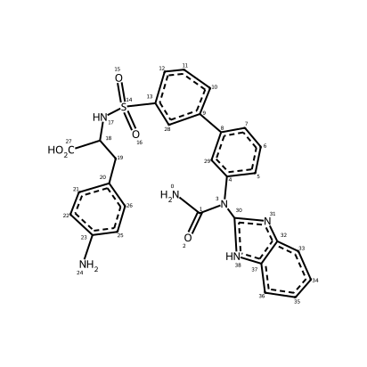 NC(=O)N(c1cccc(-c2cccc(S(=O)(=O)NC(Cc3ccc(N)cc3)C(=O)O)c2)c1)c1nc2ccccc2[nH]1